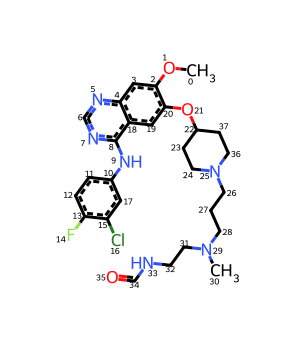 COc1cc2ncnc(Nc3ccc(F)c(Cl)c3)c2cc1OC1CCN(CCCN(C)CCNC=O)CC1